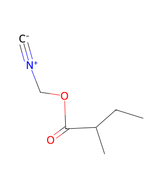 [C-]#[N+]COC(=O)C(C)CC